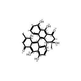 CC(=O)[C@@H]1C(C)=CC(=O)c2c1c(-c1c3c(c(O)c4c(O)cccc14)C(=O)C[C@](C)(O)[C@H]3C(C)=O)c1cccc(O)c1c2O